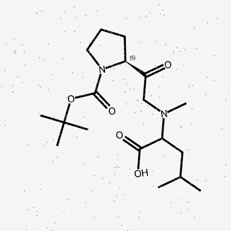 CC(C)CC(C(=O)O)N(C)CC(=O)[C@@H]1CCCN1C(=O)OC(C)(C)C